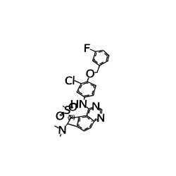 CN(C)C1c2ccc3ncnc(Nc4ccc(OCc5cccc(F)c5)c(Cl)c4)c3c2[C@H]1S(C)(=O)=O